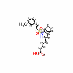 Cc1cccc(C=CS(=O)(=O)NC2C3CCC(C3)C2CC=CCCCC(=O)O)c1